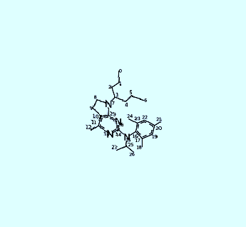 CCCC(CCC)N1CCc2c(C)nc(N(c3c(C)cc(C)cc3C)C(C)C)nc21